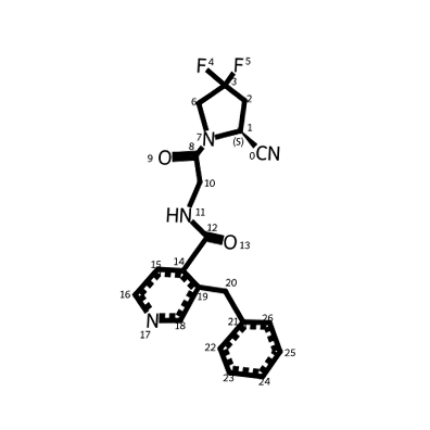 N#C[C@@H]1CC(F)(F)CN1C(=O)CNC(=O)c1ccncc1Cc1ccccc1